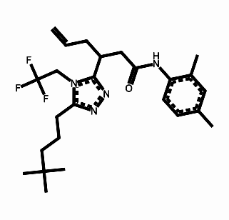 C=CCC(CC(=O)Nc1ccc(C)cc1C)c1nnc(CCCC(C)(C)C)n1CC(F)(F)F